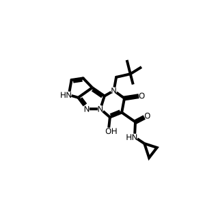 CC(C)(C)Cn1c(=O)c(C(=O)NC2CC2)c(O)n2nc3[nH]ccc3c12